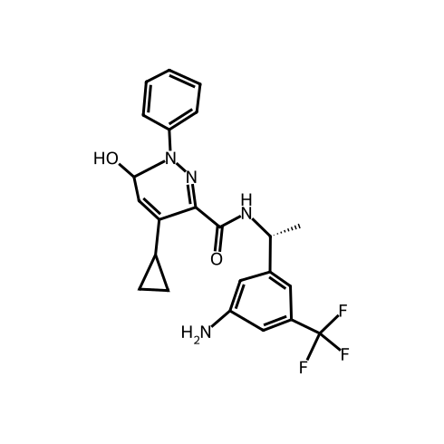 C[C@@H](NC(=O)C1=NN(c2ccccc2)C(O)C=C1C1CC1)c1cc(N)cc(C(F)(F)F)c1